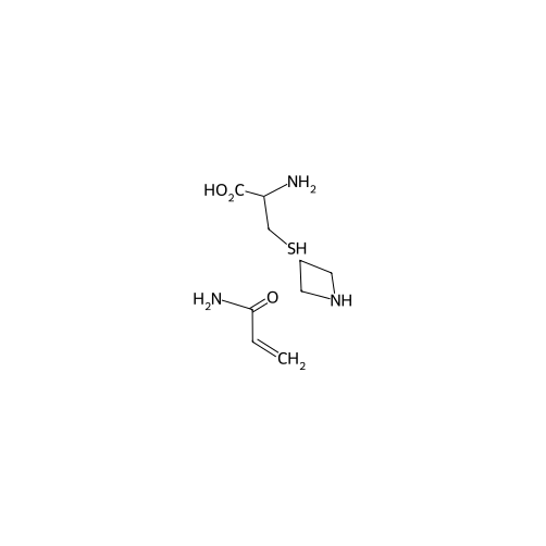 C1CNC1.C=CC(N)=O.NC(CS)C(=O)O